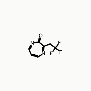 O=c1ncccnc1CC(F)(F)F